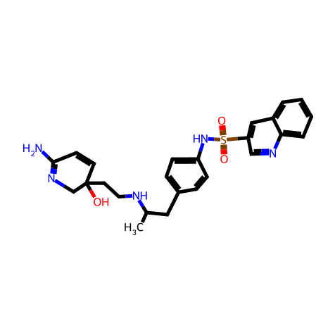 CC(Cc1ccc(NS(=O)(=O)c2cnc3ccccc3c2)cc1)NCCC1(O)C=CC(N)=NC1